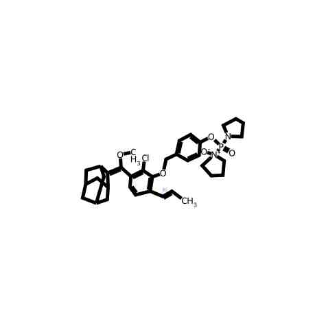 C/C=C/c1ccc(C(OC)=C2C3CC4CC(C3)CC2C4)c(Cl)c1OCc1ccc(OP(=O)(N2CCCC2)[N+]2([O-])CCCC2)cc1